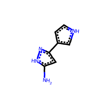 Nc1cc(-c2cc[nH]c2)n[nH]1